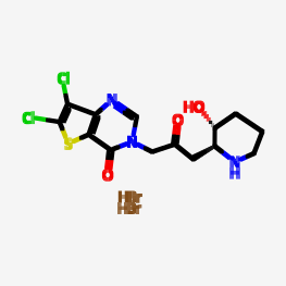 Br.Br.O=C(C[C@@H]1NCCC[C@H]1O)Cn1cnc2c(Cl)c(Cl)sc2c1=O